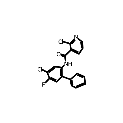 O=C(Nc1cc(Cl)c(F)cc1-c1ccccc1)c1cccnc1Cl